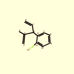 C=CC(C(=C)C)c1ccccc1F